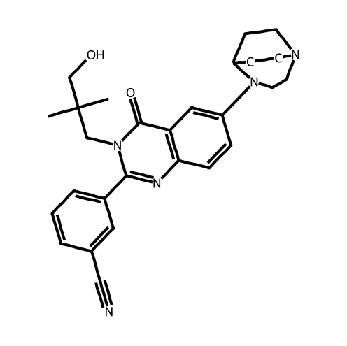 CC(C)(CO)Cn1c(-c2cccc(C#N)c2)nc2ccc(N3CCN4CCC3CC4)cc2c1=O